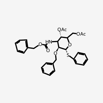 CC(=O)OCC1O[C@H](Sc2ccccc2)[C@@H](OCc2ccccc2)C(NC(=O)OCc2ccccc2)[C@@H]1OC(C)=O